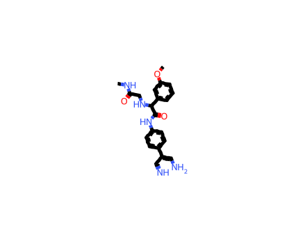 CNC(=O)CNC(C(=O)Nc1ccc(/C(C=N)=C/N)cc1)c1cccc(OC)c1